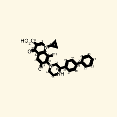 O=C(O)c1cn(C2CC2)c2c(F)c(N3CCNC(c4ccc(-c5ccccc5)cc4)C3)c(Cl)cc2c1=O